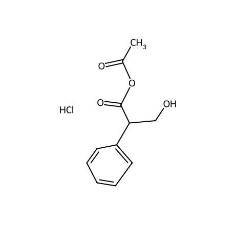 CC(=O)OC(=O)C(CO)c1ccccc1.Cl